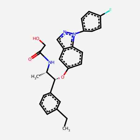 CCc1cccc([C@@H](Oc2ccc3c(cnn3-c3ccc(F)cc3)c2)[C@H](C)NC(=O)CO)c1